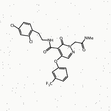 CNC(=O)Cn1ncc(Oc2cccc(C(F)(F)F)c2)c(C(=O)NCCc2ccc(Cl)cc2Cl)c1=O